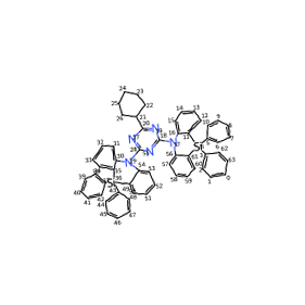 c1ccc([Si]2(c3ccccc3)c3ccccc3N(c3nc(C4CCCCC4)nc(N4c5ccccc5[Si](c5ccccc5)(c5ccccc5)c5ccccc54)n3)c3ccccc32)cc1